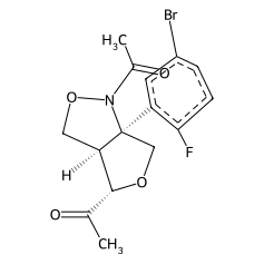 CC(=O)[C@H]1OC[C@@]2(c3cc(Br)ccc3F)[C@@H]1CON2C(C)=O